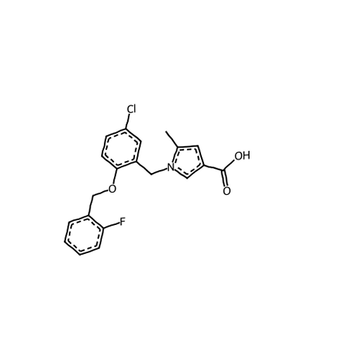 Cc1cc(C(=O)O)cn1Cc1cc(Cl)ccc1OCc1ccccc1F